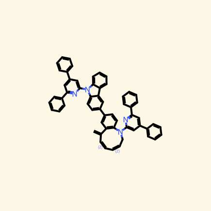 C=C1/C=C\C=C/CN(c2cc(-c3ccccc3)cc(-c3ccccc3)n2)c2ccc(-c3ccc4c(c3)c3ccccc3n4-c3cc(-c4ccccc4)cc(-c4ccccc4)n3)cc21